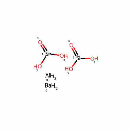 O=[Si](O)O.O=[Si](O)O.[AlH3].[BaH2]